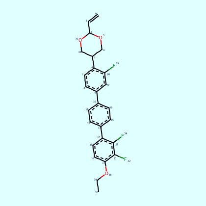 C=CC1OCC(c2ccc(-c3ccc(-c4ccc(OCC)c(F)c4F)cc3)cc2F)CO1